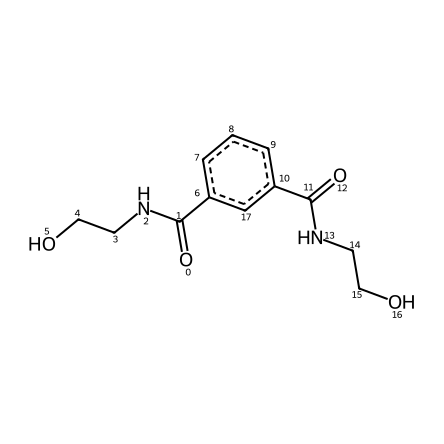 O=C(NCCO)c1cccc(C(=O)NCCO)c1